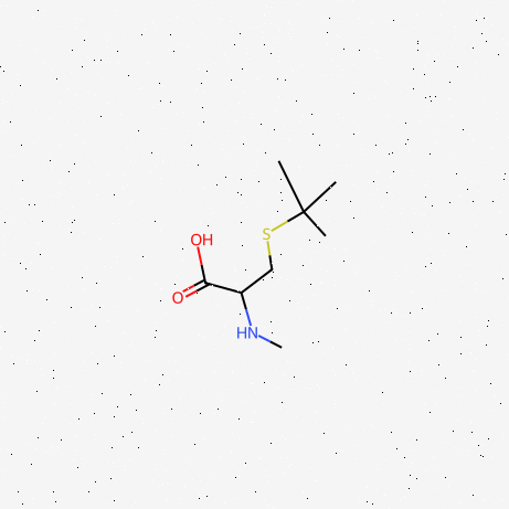 CNC(CSC(C)(C)C)C(=O)O